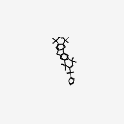 CC1(C)CCC(C)(C)c2cc3c(cc21)Cc1cc2c(cc1-3)C(C)(C)CC(C(C)(C)C1=CC=CC1)C2(C)C